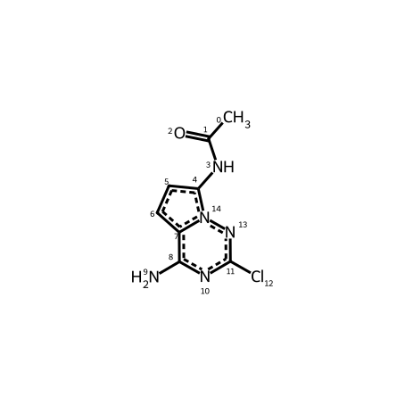 CC(=O)Nc1ccc2c(N)nc(Cl)nn12